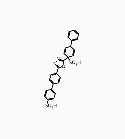 O=S(=O)(O)c1ccc(-c2ccc(-c3nnc(C4(S(=O)(=O)O)C=CC(c5ccccc5)C=C4)o3)cc2)cc1